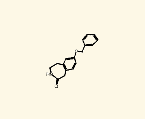 O=C1Cc2ccc(OCc3ccccc3)cc2CCN1